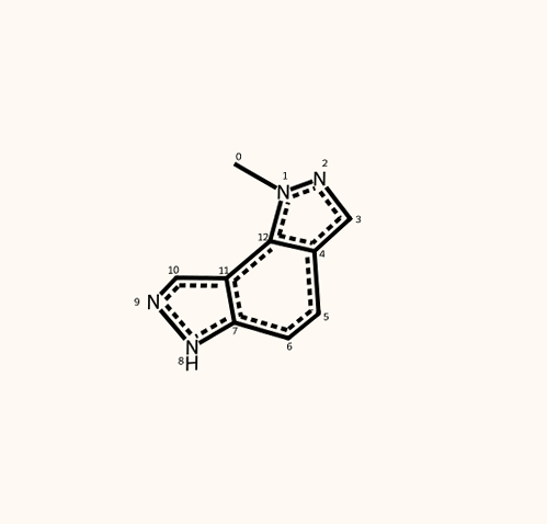 Cn1ncc2ccc3[nH]ncc3c21